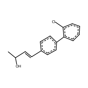 CC(O)/C=C/c1ccc(-c2ccccc2Cl)cc1